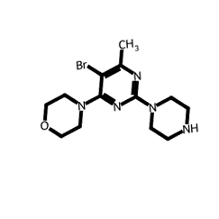 Cc1nc(N2CCNCC2)nc(N2CCOCC2)c1Br